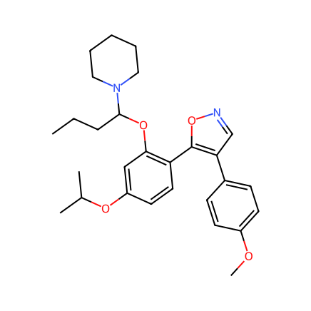 CCCC(Oc1cc(OC(C)C)ccc1-c1oncc1-c1ccc(OC)cc1)N1CCCCC1